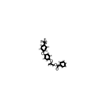 CC(COC(=O)c1ccccc1)Oc1ccc(Oc2ccc(C(F)(F)F)cc2)cc1